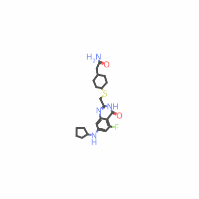 NC(=O)CC1CCC(SCc2nc3cc(NC4CCCC4)cc(F)c3c(=O)[nH]2)CC1